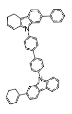 C1=CCCC(c2ccc3c4ccccc4n(-c4ccc(-c5ccc(-n6c7c(c8ccc(-c9ccccc9)cc86)CCC=C7)cc5)cc4)c3c2)=C1